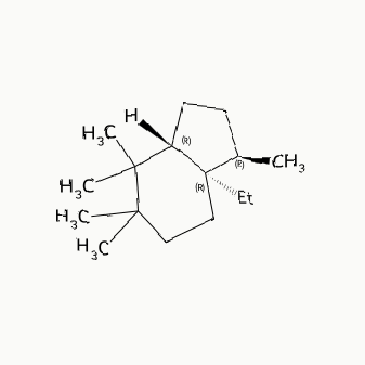 CC[C@]12CCC(C)(C)C(C)(C)[C@@H]1CC[C@H]2C